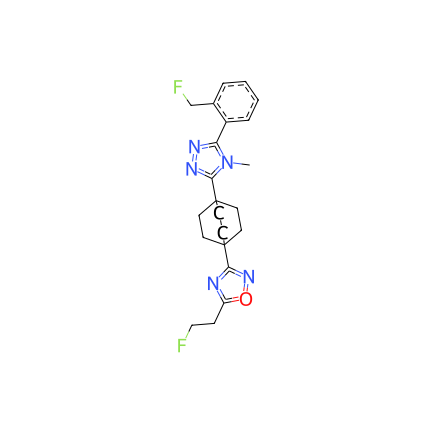 Cn1c(-c2ccccc2CF)nnc1C12CCC(c3noc(CCF)n3)(CC1)CC2